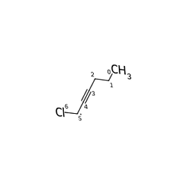 CCCC#C[CH]Cl